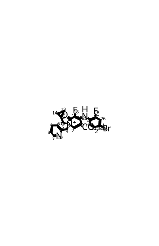 O=C(O)C1=C[N+](Cc2ccccn2)(CC2CC2)C(=O)C(F)=C1Nc1ccc(Br)cc1F